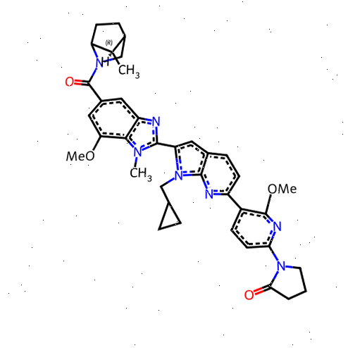 COc1nc(N2CCCC2=O)ccc1-c1ccc2cc(-c3nc4cc(C(=O)N5CC6CCC5[C@@H]6C)cc(OC)c4n3C)n(CC3CC3)c2n1